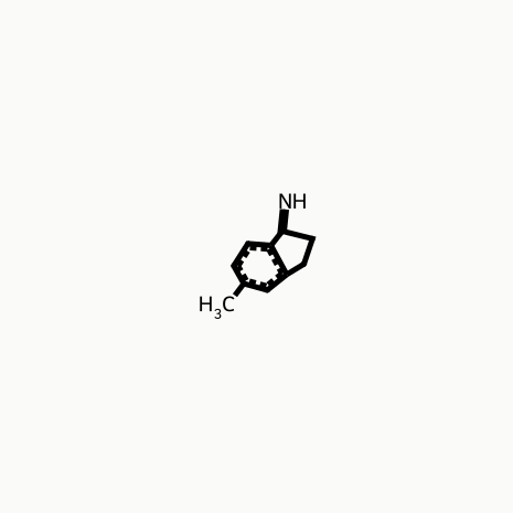 Cc1ccc2c(c1)CCC2=N